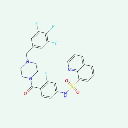 O=C(c1ccc(NS(=O)(=O)c2cccc3cccnc23)cc1F)N1CCN(Cc2cc(F)c(F)c(F)c2)CC1